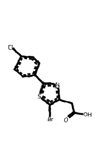 O=C(O)Cc1nc(-c2ccc(Cl)cc2)sc1Br